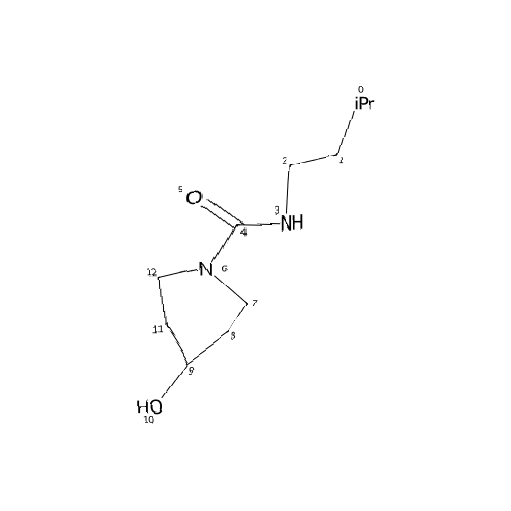 CC(C)CCNC(=O)N1CCC(O)CC1